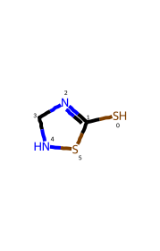 SC1=NCNS1